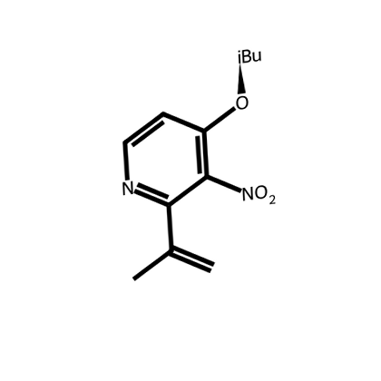 C=C(C)c1nccc(O[C@H](C)CC)c1[N+](=O)[O-]